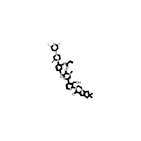 C=CC(=O)Nc1cc(Nc2nc(-c3ccnc(N4CCn5c(cc6c5CC(C)(C)C6)C4=O)c3CO)cn(C)c2=O)ccc1N1CCN([C@H]2C[C@@H](C)O[C@@H](C)C2)C[C@@H]1C